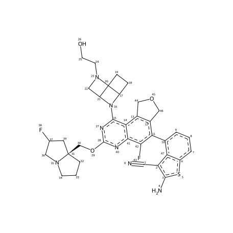 N#Cc1c(N)sc2cccc(-c3c4c(c5c(N6C7CCC78C6CN8CCO)nc(OC[C@@]67CCCN6CC(F)C7)nc5c3F)COC4)c12